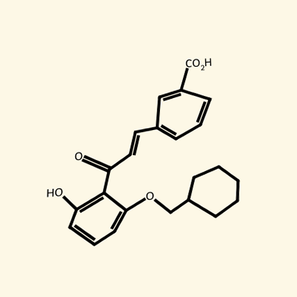 O=C(O)c1cccc(/C=C/C(=O)c2c(O)cccc2OCC2CCCCC2)c1